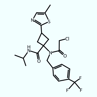 Cc1cnc(C2CC(C(=O)NC(C)C)(N(Cc3ccc(C(F)(F)F)cc3)C(=O)CCl)C2)s1